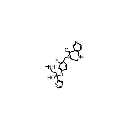 CNCC[C@@](O)(Oc1ccc(CN2CCN(C)c3ccncc3C2=O)c(F)c1)c1cccs1